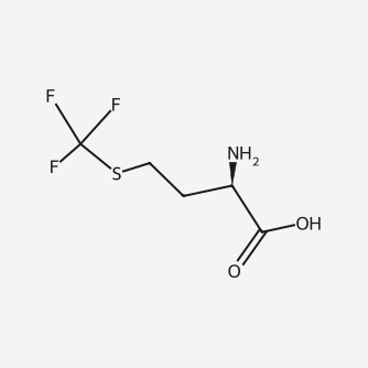 N[C@H](CCSC(F)(F)F)C(=O)O